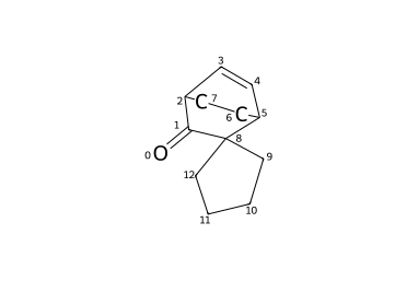 O=C1C2C=CC(CC2)C12CCCC2